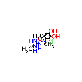 CCNC(=N)NC(=O)N(C)c1c(C)cc(O)c(O)c1Cl